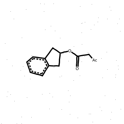 CC(=O)CC(=O)OC1Cc2ccccc2C1